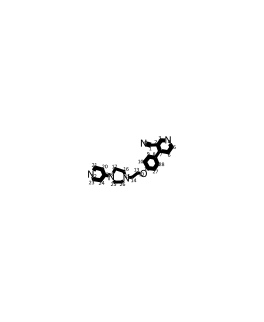 N#Cc1cnccc1-c1ccc(OCCN2CCN(c3ccncc3)CC2)cc1